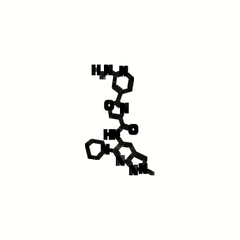 Cn1cc2cc(NC(=O)c3coc(-c4ccnc(N)c4)n3)c(N3CCCCC3)nc2n1